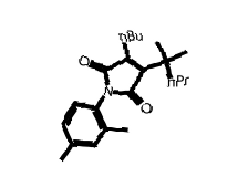 CCCCC1C(=O)N(c2ccc(C)cc2C)C(=O)C1C(C)(C)CCC